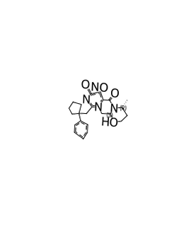 C[C@@H]1CCO[C@H]2Cn3c(CC4(c5ccccc5)CCCC4)nc(=O)c(N=O)c3C(=O)N12